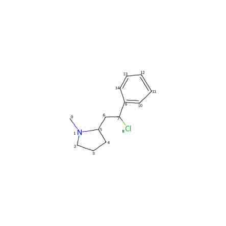 CN1CCCC1CC(Cl)c1ccccc1